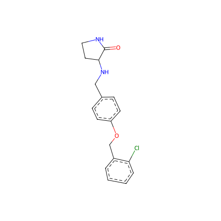 O=C1NCCC1NCc1ccc(OCc2ccccc2Cl)cc1